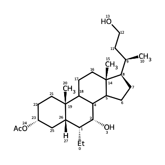 CC[C@H]1[C@@H](O)C2C3CC[C@H]([C@H](C)CCO)[C@@]3(C)CCC2[C@@]2(C)CC[C@@H](OC(C)=O)C[C@@H]12